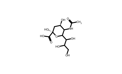 CC(=O)NC1C(C(O)C(O)CO)O[C@@](O)(C(=O)O)C[C@H]1O